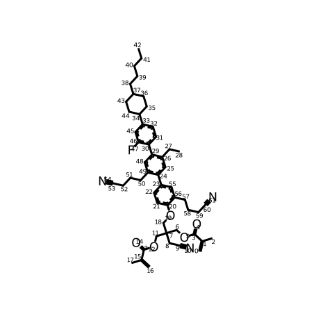 C=C(C)C(=O)OCC(CC#N)(COC(=O)C(=C)C)COc1ccc(-c2cc(CC)c(-c3ccc(C4CCC(CCCCC)CC4)cc3F)cc2CCCC#N)cc1CCCC#N